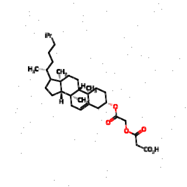 CC(C)CCC[C@@H](C)C1CC[C@H]2[C@]3(C)CC=C4C[C@@H](OC(=O)COC(=O)CC(=O)O)CC[C@]4(C)[C@H]3CC[C@]12C